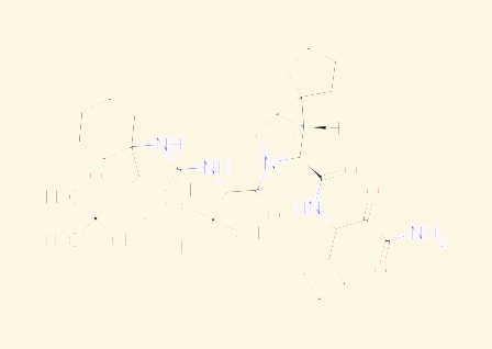 CC(C)(C)[C@H](NC(=O)NC1(CS(=O)(=O)C(C)(C)C)CCCCC1)C(=O)N1CC2[C@@H]([C@H]1C(=O)NC(C(=O)C(N)=O)C1CCC1)C21CCCC1